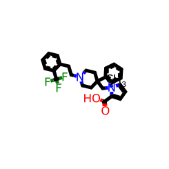 C[N+]1(CC2(c3ccccc3)CCN(CCc3ccccc3C(F)(F)F)CC2)C=CC=C1C(=O)O